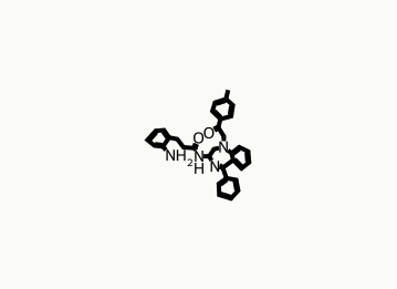 Cc1ccc(C(=O)CN2CC(NC(=O)CCc3ccccc3N)N=C(c3ccccc3)c3ccccc32)cc1